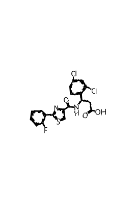 O=C(O)CC(NC(=O)c1csc(-c2ccccc2F)n1)c1ccc(Cl)cc1Cl